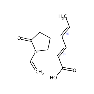 C/C=C/C=C/C(=O)O.C=CN1CCCC1=O